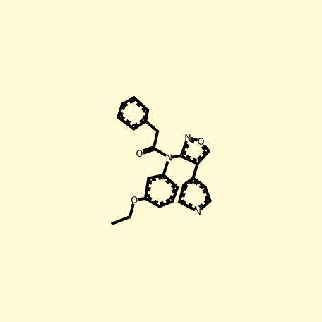 CCOc1cccc(N(C(=O)Cc2ccccc2)c2nocc2-c2ccncc2)c1